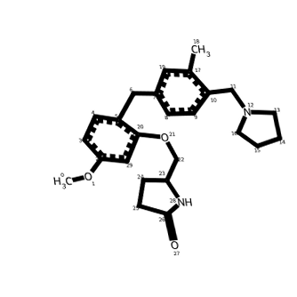 COc1c[c]c(Cc2ccc(CN3CCCC3)c(C)c2)c(OCC2CCC(=O)N2)c1